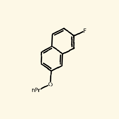 CCCOc1ccc2ccc(F)cc2c1